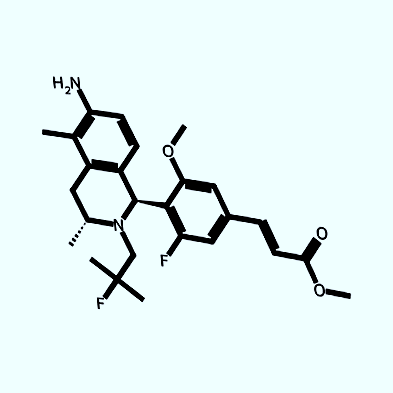 COC(=O)/C=C/c1cc(F)c([C@@H]2c3ccc(N)c(C)c3C[C@@H](C)N2CC(C)(C)F)c(OC)c1